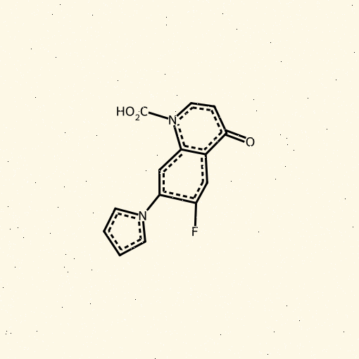 O=C(O)n1ccc(=O)c2cc(F)c(-n3cccc3)cc21